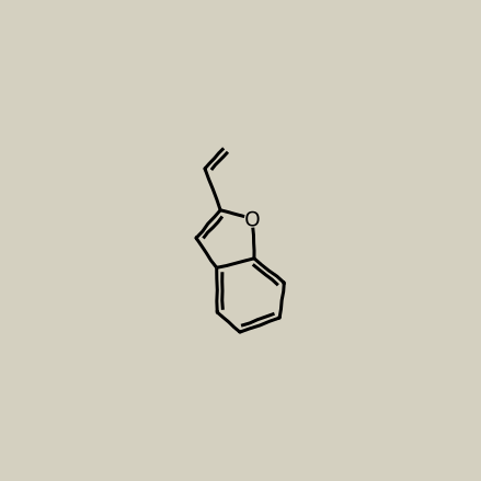 C=Cc1cc2ccccc2o1